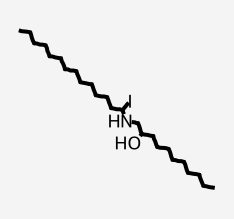 CCCCCCCCCCCCCC(I)NCC(O)CCCCCCCCC